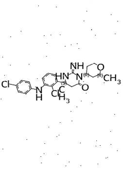 C[C@@H]1C[C@H](N2C(=N)N[C@](C)(c3cccc(Nc4ccc(Cl)cc4)c3Cl)CC2=O)CCO1